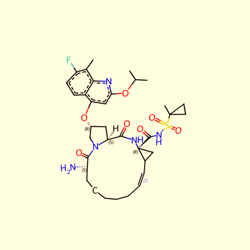 Cc1c(F)ccc2c(O[C@@H]3C[C@H]4C(=O)N[C@]5(C(=O)NS(=O)(=O)C6(C)CC6)CC5/C=C\CCCCC[C@H](N)C(=O)N4C3)cc(OC(C)C)nc12